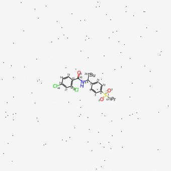 CCCS(=O)(=O)c1ccc(C(NC(=O)c2ccc(Cl)cc2Cl)C(C)(C)C)cc1